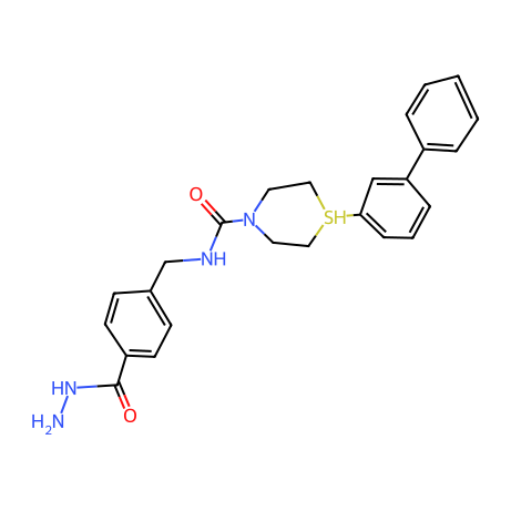 NNC(=O)c1ccc(CNC(=O)N2CC[SH](c3cccc(-c4ccccc4)c3)CC2)cc1